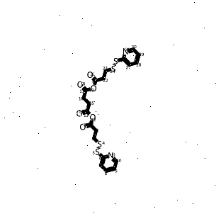 O=C(CCSSc1ccccn1)OC(=O)CCC(=O)OC(=O)CCSSc1ccccn1